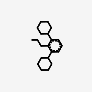 FCCc1c(C2CCCCC2)cccc1C1CCCCC1